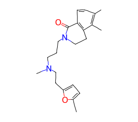 Cc1ccc(CCN(C)CCCN2CCc3c(ccc(C)c3C)C2=O)o1